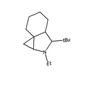 CCN1C(C(C)(C)C)C2CCCCC23CC13